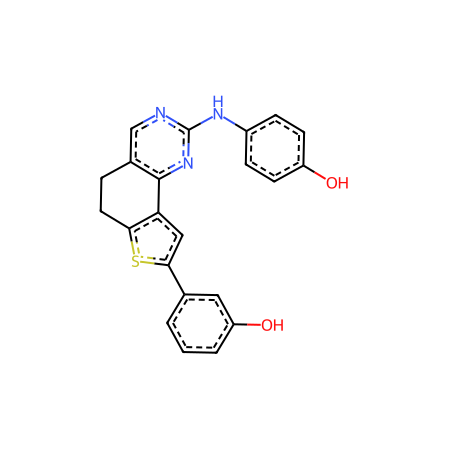 Oc1ccc(Nc2ncc3c(n2)-c2cc(-c4cccc(O)c4)sc2CC3)cc1